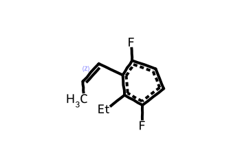 C/C=C\c1c(F)ccc(F)c1CC